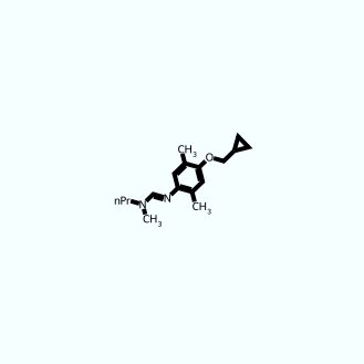 CCCN(C)C=Nc1cc(C)c(OCC2CC2)cc1C